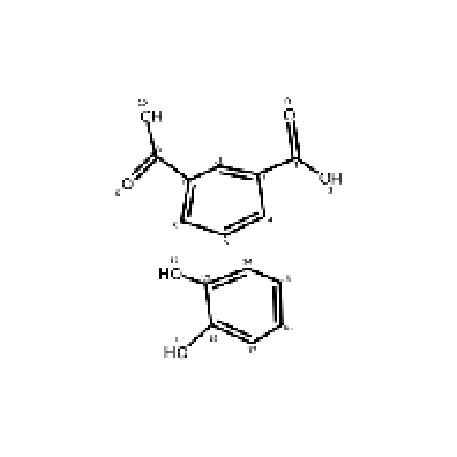 O=C(O)c1cccc(C(=O)O)c1.Oc1ccccc1O